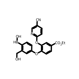 CCOC(=O)c1ccc(Oc2ccc(BO)c(CO)c2)c(Oc2ccc(C#N)cn2)c1